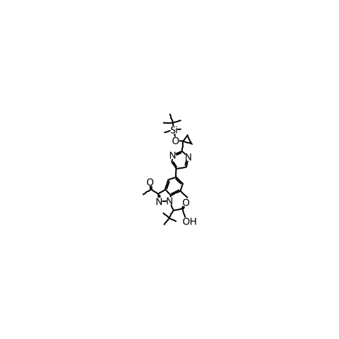 CC(=O)c1nn(C(C(=O)O)C(C)(C)C)c2c(C)cc(-c3cnc(C4(O[Si](C)(C)C(C)(C)C)CC4)nc3)cc12